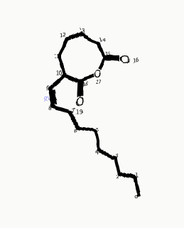 CCCCCCCC/C=C\C1CCCCC(=O)OC1=O